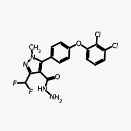 Cn1nc(C(F)F)c(C(=O)NN)c1-c1ccc(Oc2cccc(Cl)c2Cl)cc1